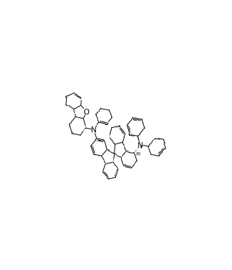 C1=CCC(N(C2CC=CCC2)[C@@H]2CC=CC3C2C2C=CCCC2C32C3C=CC=CC3C3C=CC(N(C4=CCCCC4)C4CCCC5C6CCC=CC6OC54)=CC32)C=C1